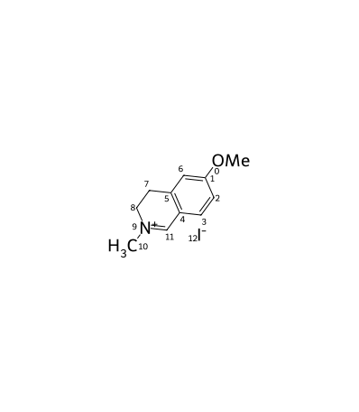 COc1ccc2c(c1)CC[N+](C)=C2.[I-]